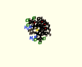 CCCC(N)(C[Si](Cl)(Cl)Cl)C(SC(C(N)(CCC)C[Si](Cl)(Cl)Cl)([Si](C)(C)C)[Si](C)(C)C)([Si](C)(C)C)[Si](C)(C)C